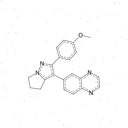 COc1ccc(-c2nn3c(c2-c2ccc4nccnc4c2)CCC3)cc1